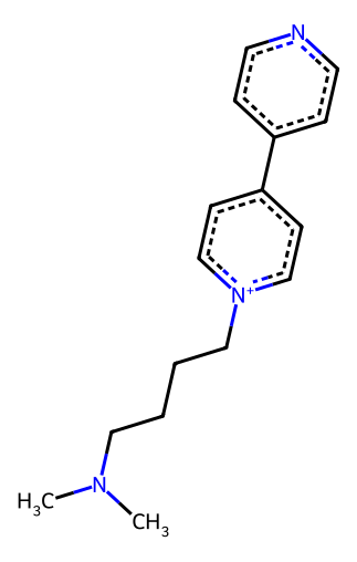 CN(C)CCCC[n+]1ccc(-c2ccncc2)cc1